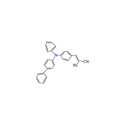 N#CC(C#N)=Cc1ccc(N(c2ccccc2)c2ccc(-c3ccccc3)cc2)cc1